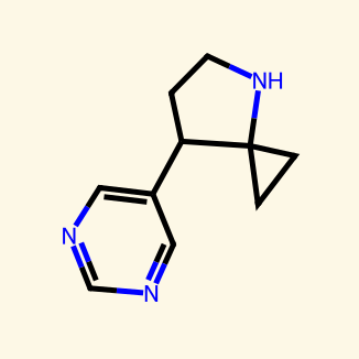 c1ncc(C2CCNC23CC3)cn1